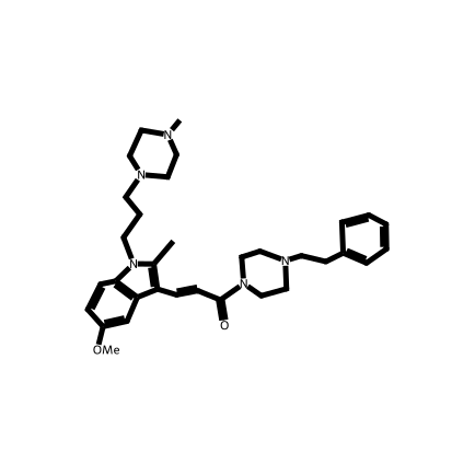 COc1ccc2c(c1)c(C=CC(=O)N1CCN(CCc3ccccc3)CC1)c(C)n2CCCN1CCN(C)CC1